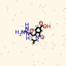 CC(C)CN1C(=O)c2cc(C(=O)O)ccc2C1CC(=O)NC(=N)N